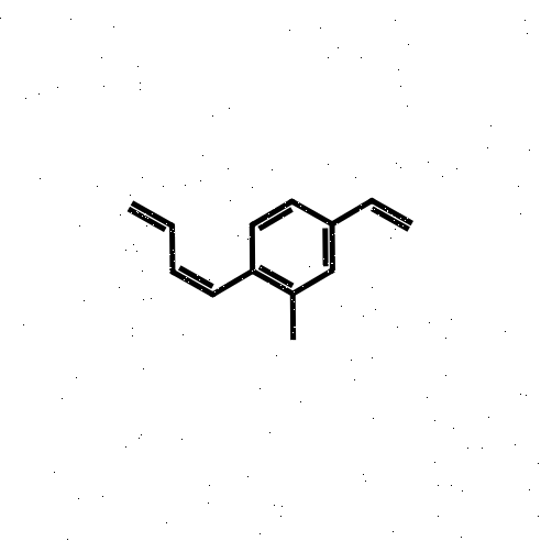 C=C/C=C\c1ccc(C=C)cc1C